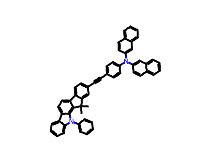 CC1(C)c2cc(C#Cc3ccc(N(c4ccc5ccccc5c4)c4ccc5ccccc5c4)cc3)ccc2-c2ccc3c4ccccc4n(-c4ccccc4)c3c21